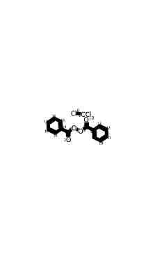 ClC(Cl)(Cl)Cl.O=C(OOC(=O)c1ccccc1)c1ccccc1